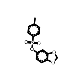 Cc1ccc(S(=O)(=O)Oc2ccc3c(c2)OCO3)cc1